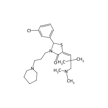 CN(C)CC(C)(C)C=C1SC(c2cccc(Cl)c2)N(CCCN2CCCCC2)C1=O